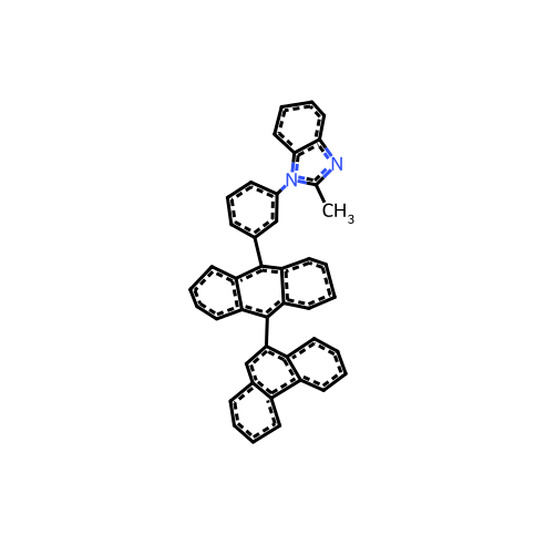 Cc1nc2ccccc2n1-c1cccc(-c2c3ccccc3c(-c3cc4ccccc4c4ccccc34)c3ccccc23)c1